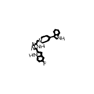 Fc1ccc2[nH]c(-c3nnc(CN4CCC(c5c[nH]c6ccccc56)CC4)[nH]3)cc2c1